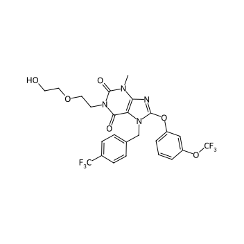 Cn1c(=O)n(CCOCCO)c(=O)c2c1nc(Oc1cccc(OC(F)(F)F)c1)n2Cc1ccc(C(F)(F)F)cc1